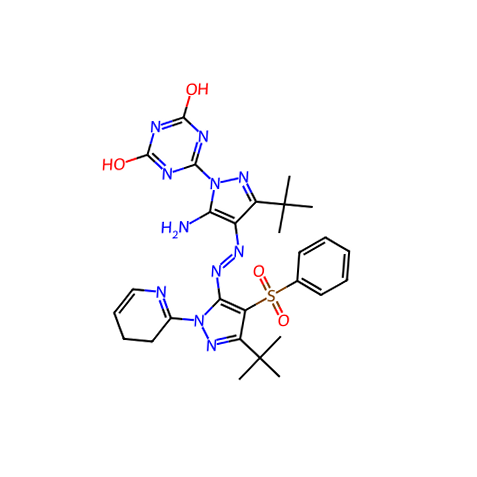 CC(C)(C)c1nn(-c2nc(O)nc(O)n2)c(N)c1N=Nc1c(S(=O)(=O)c2ccccc2)c(C(C)(C)C)nn1C1=NC=CCC1